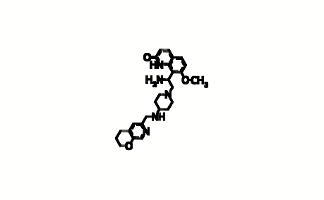 COc1ccc2ccc(=O)[nH]c2c1[C@H](N)CN1CCC(NCc2cc3c(cn2)OCCC3)CC1